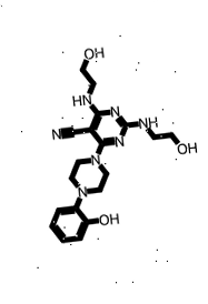 N#Cc1c(NCCO)nc(NCCO)nc1N1CCN(c2ccccc2O)CC1